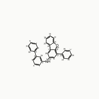 c1ccc(-c2cccc(Nc3cc(-c4ccccc4)c4oc5ccccc5c4c3)c2)cc1